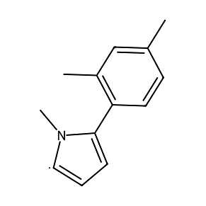 Cc1ccc(-c2cc[c]n2C)c(C)c1